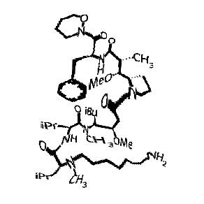 CC[C@H](C)[C@@H]([C@@H](CC(=O)N1CCC[C@H]1[C@H](OC)[C@@H](C)C(=O)N[C@@H](Cc1ccccc1)C(=O)N1CCCCO1)OC)N(C)C(=O)[C@@H](NC(=O)[C@H](C(C)C)N(C)CCCCCCN)C(C)C